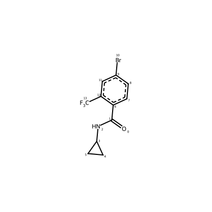 O=C(NC1CC1)c1ccc(Br)cc1C(F)(F)F